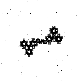 c1ccc(C(c2ccccc2)c2ccc(OCCOc3ccc(P(c4ccccc4)c4ccccc4)cc3)cc2)cc1